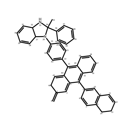 C=C1C=c2c(-c3ccc4c(c3)C=CCC4)c3ccccc3c(-c3ccc(N4C5C=CC=CC5NC4(C)c4ccccc4)cc3)c2=CC1